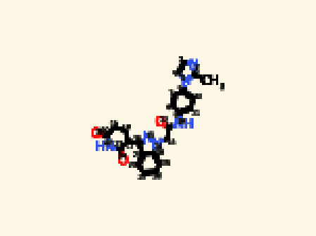 Cc1nccn1-c1ccc(NC(=O)Cn2nc(C3CCC(=O)NC3=O)c3ccccc32)cc1